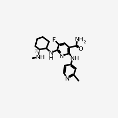 CN[C@H]1CCCCC1Nc1nc(Nc2ccnc(C)c2)c(C(N)=O)cc1F